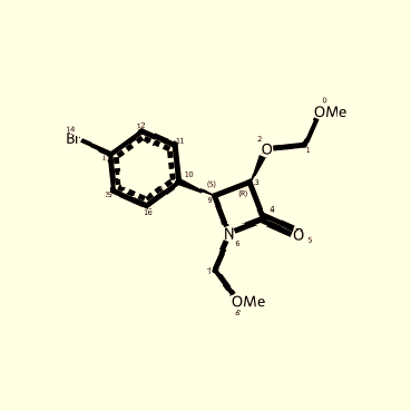 COCO[C@H]1C(=O)N(COC)[C@H]1c1ccc(Br)cc1